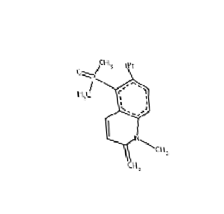 C=C1C=Cc2c(ccc(C(C)C)c2P(C)(C)=O)N1C